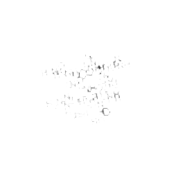 CC(C)CC(NC(=O)C(COC(C)(C)C)NC(=O)C(Cc1ccc(O)cc1)NC(=O)C(CO)NC(=O)C(Cc1c[nH]c2ccccc12)NC(=O)C(Cc1cnc[nH]1)NC(=O)[C@@H]1CCC(=O)N1)C(=O)NC(CCCN=C(N)N)C(=O)N1CCC[C@H]1C(=O)NNC(N)=O